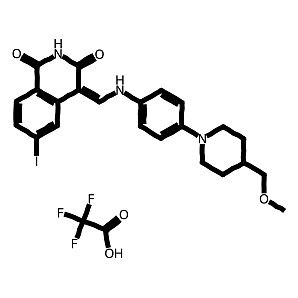 COCC1CCN(c2ccc(N/C=C3\C(=O)NC(=O)c4ccc(I)cc43)cc2)CC1.O=C(O)C(F)(F)F